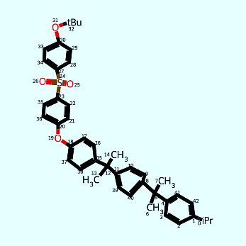 CC(C)c1ccc(C(C)(C)c2ccc(C(C)(C)c3ccc(Oc4ccc(S(=O)(=O)c5ccc(OC(C)(C)C)cc5)cc4)cc3)cc2)cc1